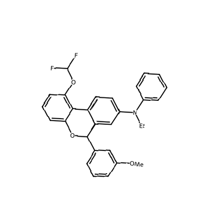 CCN(c1ccccc1)c1ccc2c(c1)C(c1cccc(OC)c1)Oc1cccc(OC(F)F)c1-2